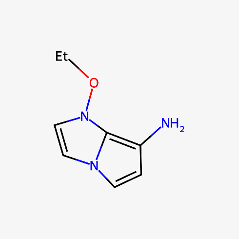 CCOn1ccn2ccc(N)c12